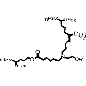 CCCCCCC(CCCCCC)CCCOC(=O)CCCCCN(CCO)CCCCC(CCCC(CCCCCC)CCCCCC)C(=O)O